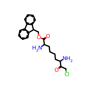 NC(CCCCC(N)C(=O)OCC1c2ccccc2-c2ccccc21)C(=O)CCl